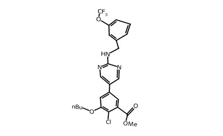 CCCCOc1cc(-c2cnc(NCc3cccc(OC(F)(F)F)c3)nc2)cc(C(=O)OC)c1Cl